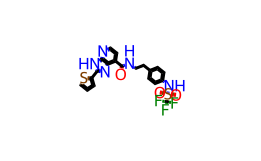 O=C(NCCc1ccc(NS(=O)(=O)C(F)(F)F)cc1)c1ccnc2[nH]c(-c3cccs3)nc12